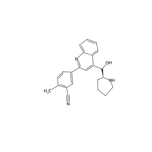 Cc1ccc(-c2cc(C(O)[C@@H]3CCCCN3)c3ccccc3n2)cc1C#N